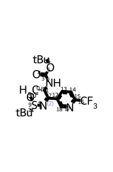 C[C@H](NC(=O)OC(C)(C)C)/C(=N\[S+]([O-])C(C)(C)C)c1ccc(C(F)(F)F)nc1